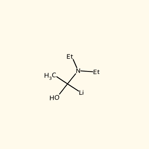 [Li][C](C)(O)N(CC)CC